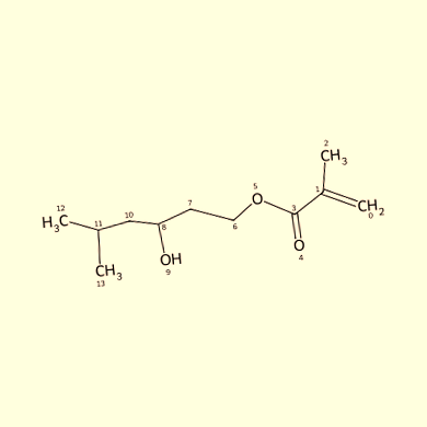 C=C(C)C(=O)OCCC(O)CC(C)C